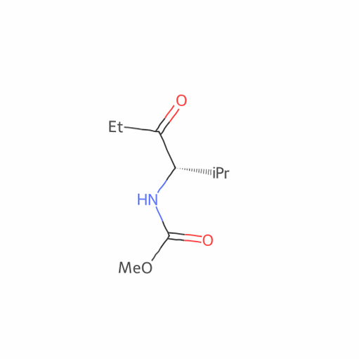 CCC(=O)[C@@H](NC(=O)OC)C(C)C